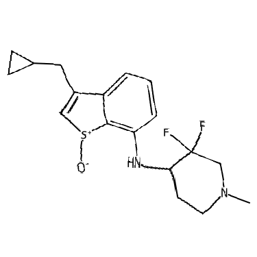 CN1CCC(Nc2cccc3c(CC4CC4)c[s+]([O-])c23)C(F)(F)C1